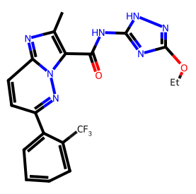 CCOc1n[nH]c(NC(=O)c2c(C)nc3ccc(-c4ccccc4C(F)(F)F)nn23)n1